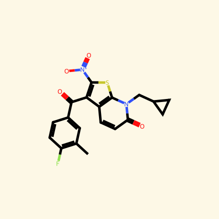 Cc1cc(C(=O)c2c([N+](=O)[O-])sc3c2ccc(=O)n3CC2CC2)ccc1F